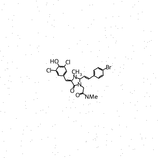 CNC(=O)CN1C(=O)/C(=C/c2cc(Cl)c(O)c(Cl)c2)N(C)C1/C=C/c1ccc(Br)cc1